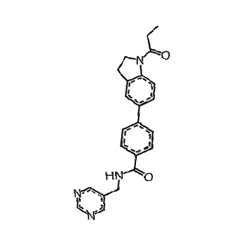 CCC(=O)N1CCc2cc(-c3ccc(C(=O)NCc4cncnc4)cc3)ccc21